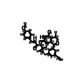 C#Cc1cc(C)cc(C(=O)c2c(C(C)C)c(=O)[nH]c(=O)n2CC2(CC(=O)NCc3ccc(OC)cc3)CC2)c1